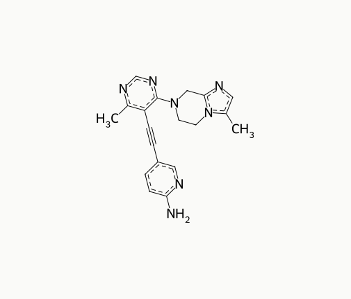 Cc1ncnc(N2CCn3c(C)cnc3C2)c1C#Cc1ccc(N)nc1